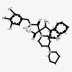 CC(=O)C(C(=O)N(C)Cc1cc(Cl)c(Cl)c(Cl)c1)(C(N)c1c[nH]c2ccccc12)N1CCC(N2CCCCC2)CC1